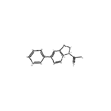 CC(=S)N1CCc2cc(-c3cccnc3)ccc21